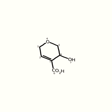 O=C(O)C1=CCOCC1O